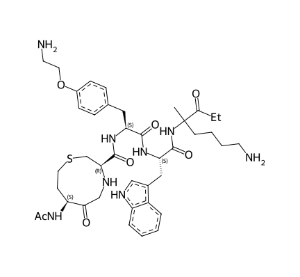 CCC(=O)C(C)(CCCCN)NC(=O)[C@H](Cc1c[nH]c2ccccc12)NC(=O)[C@H](Cc1ccc(OCCN)cc1)NC(=O)[C@@H]1CSCC[C@H](NC(C)=O)C(=O)CN1